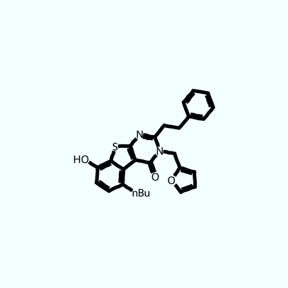 CCCCc1ccc(O)c2sc3nc(CCc4ccccc4)n(Cc4ccco4)c(=O)c3c12